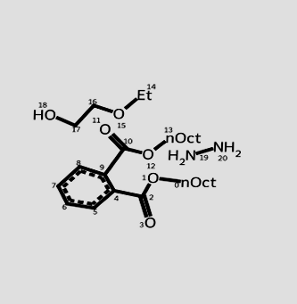 CCCCCCCCOC(=O)c1ccccc1C(=O)OCCCCCCCC.CCOCCO.NN